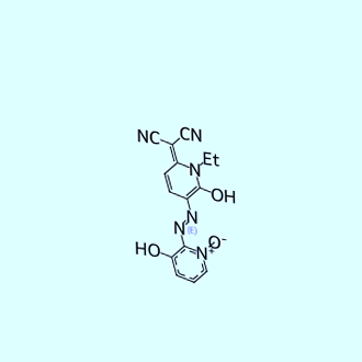 CCN1C(O)=C(/N=N/c2c(O)ccc[n+]2[O-])C=CC1=C(C#N)C#N